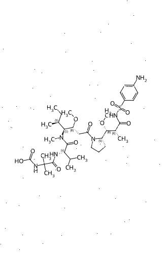 CC[C@H](C)[C@@H]([C@@H](CC(=O)N1CCC[C@H]1[C@H](OC)[C@@H](C)C(=O)NS(=O)(=O)c1ccc(N)cc1)OC)N(C)C(=O)[C@@H](NC(=O)C(C)(C)NC(=O)O)C(C)C